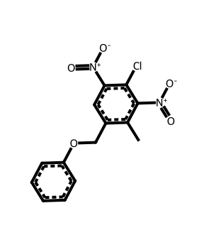 Cc1c(COc2ccccc2)cc([N+](=O)[O-])c(Cl)c1[N+](=O)[O-]